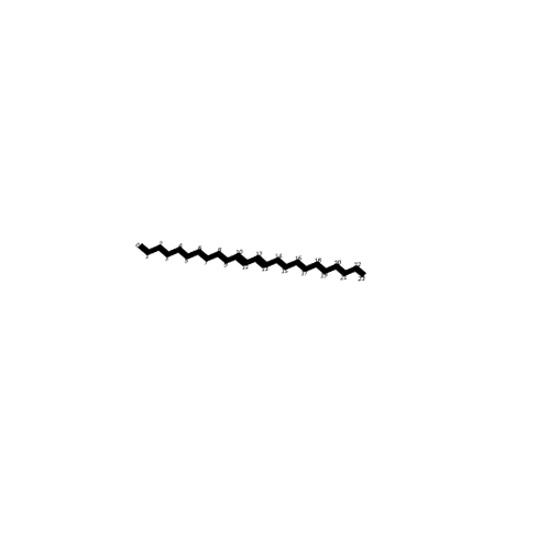 CCCCCCCCCCC=C/[C]=C/CCCCCCCCCC